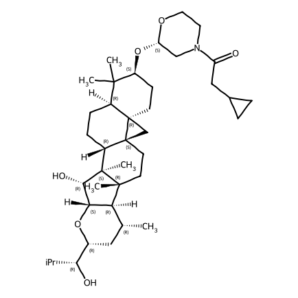 CC(C)[C@@H](O)[C@H]1C[C@@H](C)[C@H]2[C@H](O1)[C@H](O)[C@@]1(C)[C@@H]3CC[C@H]4C(C)(C)[C@@H](O[C@H]5CN(C(=O)CC6CC6)CCO5)CC[C@@]45C[C@@]35CC[C@]21C